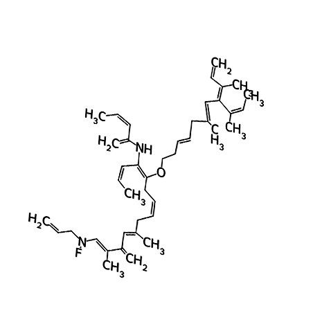 C=CCN(F)/C=C(\C)C(=C)/C=C(\C)C/C=C\C/C(OCC/C=C/C/C(C)=C/C(C(/C)=C\C)=C(/C)C=C)=C(\C=C/C)NC(=C)/C=C\C